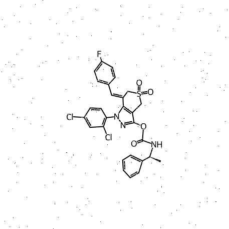 C[C@H](NC(=O)Oc1nn(-c2ccc(Cl)cc2Cl)c2c1CS(=O)(=O)C/C2=C\c1ccc(F)cc1)c1ccccc1